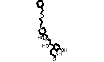 O=c1ccc2c([C@@H](O)CNCC3(O)CCN(CCCOCCc4ccccc4)CC3)ccc(O)c2[nH]1